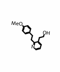 COc1ccc(CCc2ncccc2CCO)cc1